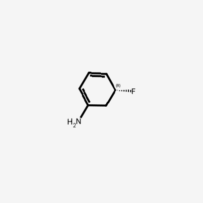 NC1=CC=C[C@H](F)C1